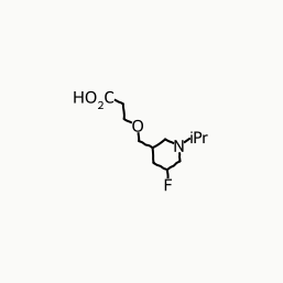 CC(C)N1CC(F)CC(COCCC(=O)O)C1